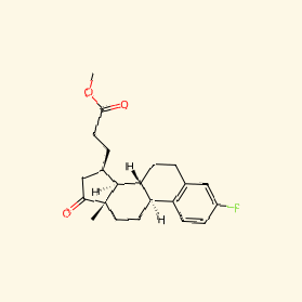 COC(=O)CC[C@@H]1CC(=O)[C@@]2(C)CC[C@@H]3c4ccc(F)cc4CC[C@H]3[C@H]12